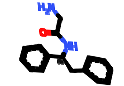 NCC(=O)N[C@@H](Cc1ccccc1)c1ccccc1